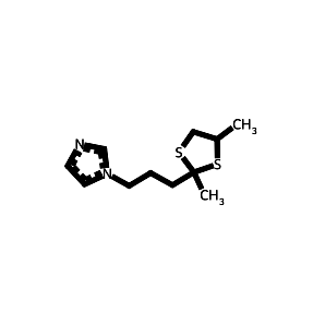 CC1CSC(C)(CCCn2ccnc2)S1